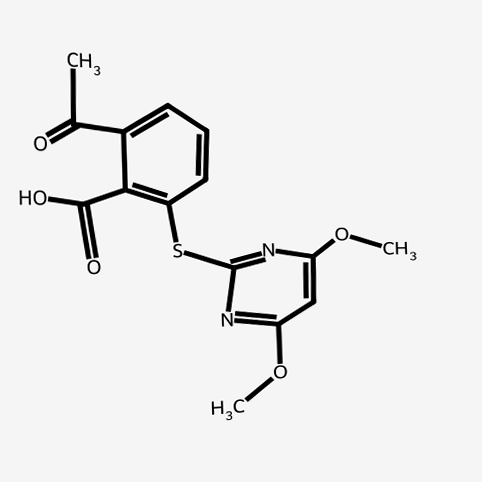 COc1cc(OC)nc(Sc2cccc(C(C)=O)c2C(=O)O)n1